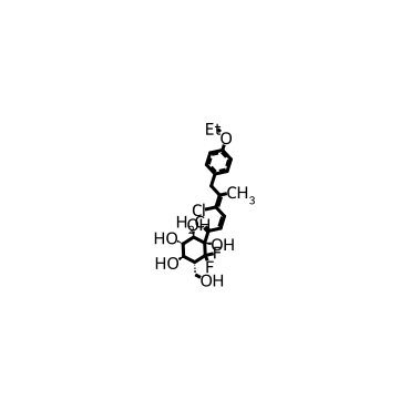 C=C(/C=C\C(Cl)=C(/C)Cc1ccc(OCC)cc1)[C@@]1(O)[C@H](O)[C@@H](O)[C@H](O)[C@@H](CO)C1(F)F